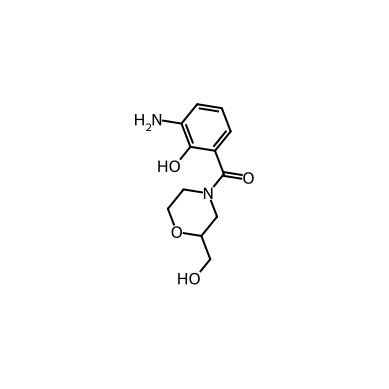 Nc1cccc(C(=O)N2CCOC(CO)C2)c1O